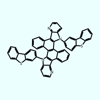 c1ccc2c(c1)sc1cc(-n3c4cccnc4c4c5ccccc5c5c(c6ccccc6c6c7ncccc7n(-c7ccc8sc9ccccc9c8c7)c65)c43)ccc12